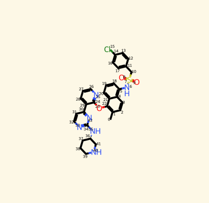 Cc1ccc2c(NS(=O)(=O)Cc3ccc(Cl)cc3)cccc2c1Oc1ncccc1-c1ccnc(N[C@H]2CCCNC2)n1